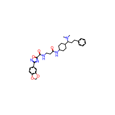 CN(C)C(CCc1ccccc1)C1CCC(NC(=O)CCNC(=O)c2nc(-c3ccc4c(c3)OCO4)no2)CC1